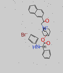 O=C(C[N+]12CCC(CC1)C(OC(=O)[C@H](Nc1ccccc1)c1ccccc1)C2)c1ccc2ccccc2c1.[Br-]